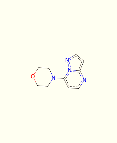 c1cc(N2CCOCC2)n2nccc2n1